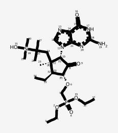 CCOP(=O)(CO[C@H]1C(=O)[C@@H](n2cnc3c(=O)[nH]c(N)nc32)[C@](C)(CC(C)(C)[Si](C)(C)O)[C@@H]1CC)OCC